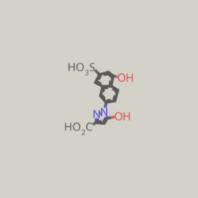 O=C(O)c1cc(O)n(-c2ccc3c(O)cc(S(=O)(=O)O)cc3c2)n1